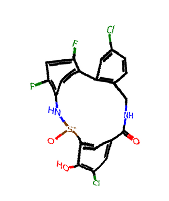 O=C1NCc2ccc(Cl)cc2-c2cc(c(F)cc2F)N[S+]([O-])c2cc1cc(Cl)c2O